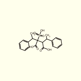 CC(c1ccccc1)C(C(=O)O)C(C(=O)O)(C(C)c1ccccc1)S(=O)(=O)O